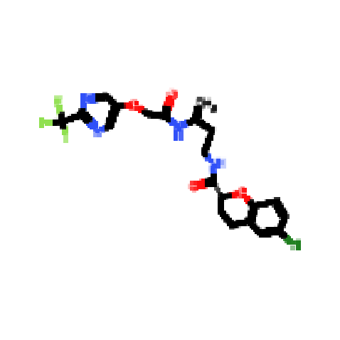 C=C(CCNC(=O)[C@H]1CCc2cc(Cl)ccc2O1)NC(=O)COc1cnc(C(F)(F)F)nc1